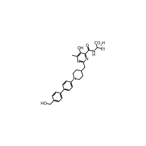 CCC(NC(=O)c1nc(CC2CCN(c3ccc(-c4ccc(CO)cc4)cc3)CC2)nc(C)c1O)C(=O)O